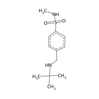 CNS(=O)(=O)c1ccc(CNC(C)(C)C)cc1